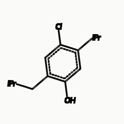 CC(C)Cc1cc(Cl)c(C(C)C)cc1O